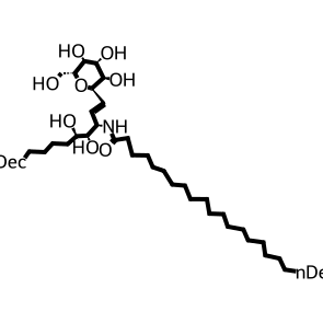 CCCCCCCCCCCCCCCCCCCCCCCCCCCCC(=O)N[C@@H](/C=C/[C@H]1O[C@H](CO)[C@H](O)[C@H](O)[C@H]1O)[C@H](O)[C@H](O)CCCCCCCCCCCCCC